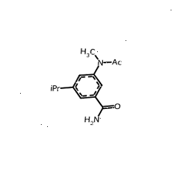 CC(=O)N(C)c1cc(C(N)=O)cc(C(C)C)c1